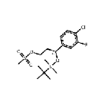 CC(C)(C)[Si](C)(C)O[C@@H](CCOS(C)(=O)=O)c1ccc(Cl)c(F)c1